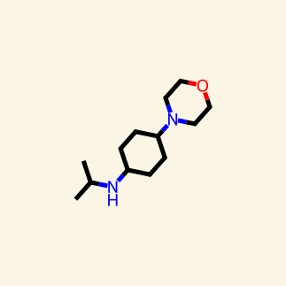 CC(C)NC1CCC(N2CCOCC2)CC1